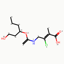 C=C(NC/C(Cl)=C(\C)C(=O)O)OC(CCC)CCO